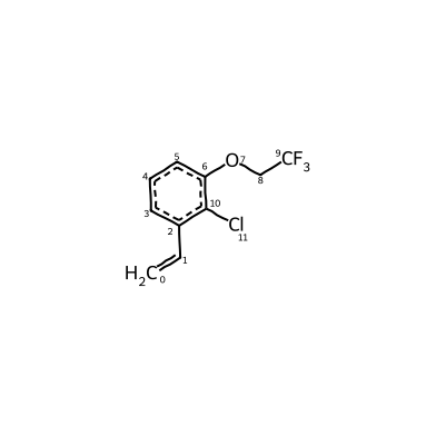 C=Cc1cccc(OCC(F)(F)F)c1Cl